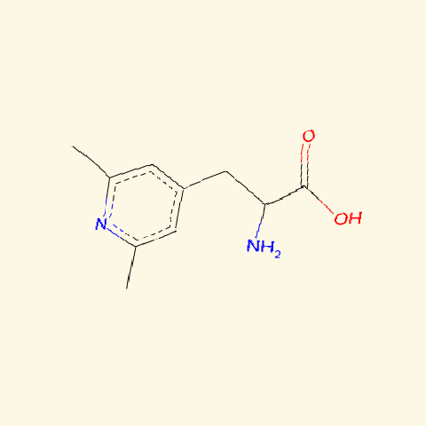 Cc1cc(CC(N)C(=O)O)cc(C)n1